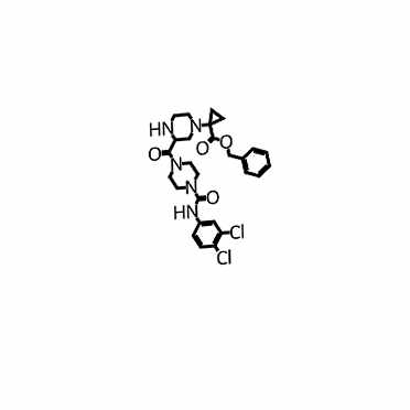 O=C(Nc1ccc(Cl)c(Cl)c1)N1CCN(C(=O)C2CN(C3(C(=O)OCc4ccccc4)CC3)CCN2)CC1